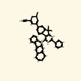 CC1C=C(c2ccc3c(c2)C(C)(C)c2nc(-c4ccccc4)nc(-n4c5ccccc5c5cc6ccccc6cc54)c2-3)C=C(C#N)C1